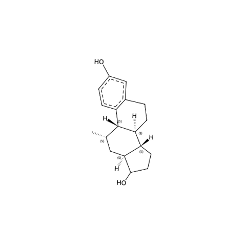 C[C@H]1C[C@@H]2C(O)CC[C@H]2[C@@H]2CCc3cc(O)ccc3[C@H]21